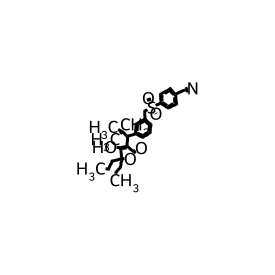 CCCC1(CCC)OC(=O)C(C(c2cccc(CS(=O)(=O)c3ccc(C#N)cc3)c2)C(C)(C)C)=C1O